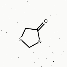 O=C1CSC[N]1